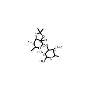 CC(=O)O[C@H]1C(C)OC(O)[C@H](O)C1O[C@@H]1OC(C)[C@H](C)C2OC(C)(C)O[C@@H]21